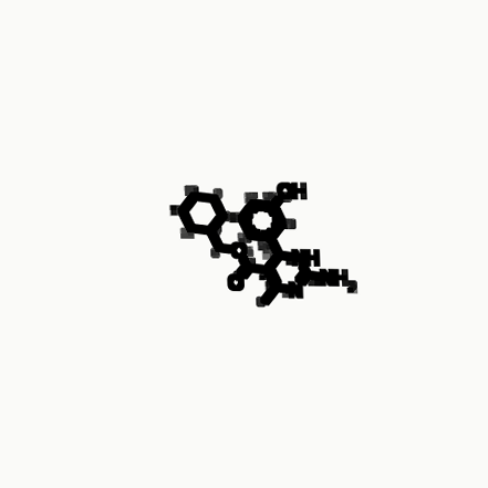 CC1=C(C(=O)OCC2CCCCC2)C(c2cccc(O)c2)NC(N)=N1